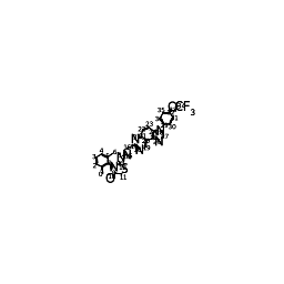 Cc1cccc(C)c1N1C(=O)CS/C1=N\N=C\c1ncc2c(ccc3c2ncn3-c2ccc(OC(F)(F)F)cc2)n1